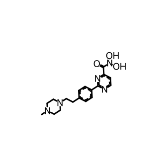 CN1CCN(CCc2ccc(-c3nccc(C(=O)N(O)O)n3)cc2)CC1